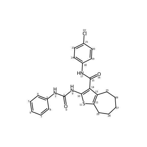 O=C(Nc1ccccc1)Nc1sc2c(c1C(=O)Nc1ccc(Cl)cc1)CCCCC2